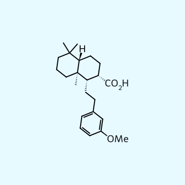 COc1cccc(CC[C@H]2[C@@H](C(=O)O)CC[C@H]3C(C)(C)CCC[C@]23C)c1